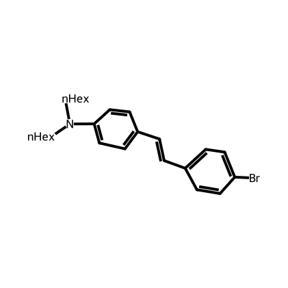 CCCCCCN(CCCCCC)c1ccc(C=Cc2ccc(Br)cc2)cc1